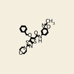 Cc1nc2cc(NC(=O)c3sc4nc(N5CCOCC5)sc4c3OCc3ccccc3)ccc2o1